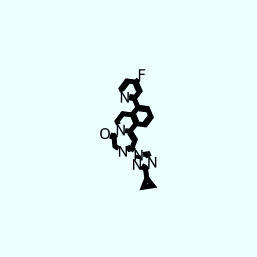 O=C1CN=C(n2cnc(C3CC3)n2)C=C2c3cccc(-c4cc(F)ccn4)c3CCN12